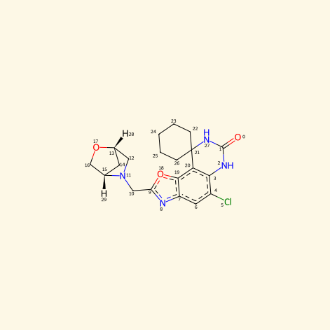 O=C1Nc2c(Cl)cc3nc(CN4C[C@@H]5C[C@H]4CO5)oc3c2C2(CCCCC2)N1